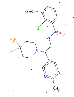 COc1cccc(C(=O)NCC(c2cnc(C)nc2)N2CCC(F)(P)CC2)c1Cl